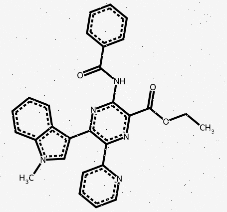 CCOC(=O)c1nc(-c2ccccn2)c(-c2cn(C)c3ccccc23)nc1NC(=O)c1ccccc1